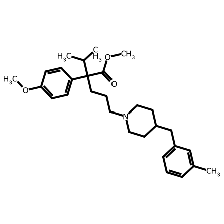 COC(=O)C(CCCN1CCC(Cc2cccc(C)c2)CC1)(c1ccc(OC)cc1)C(C)C